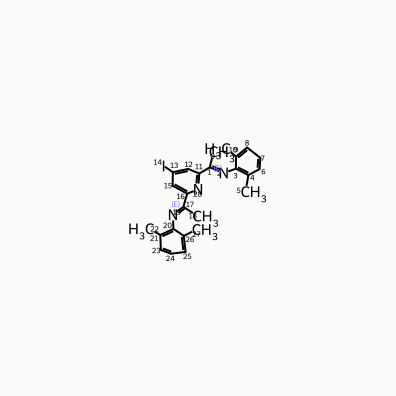 C/C(=N\c1c(C)cccc1C)c1cc(I)cc(/C(C)=N/c2c(C)cccc2C)n1